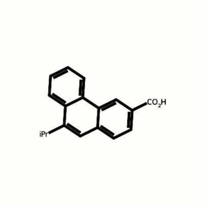 CC(C)c1cc2ccc(C(=O)O)cc2c2ccccc12